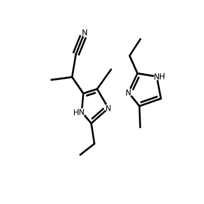 CCc1nc(C)c(C(C)C#N)[nH]1.CCc1nc(C)c[nH]1